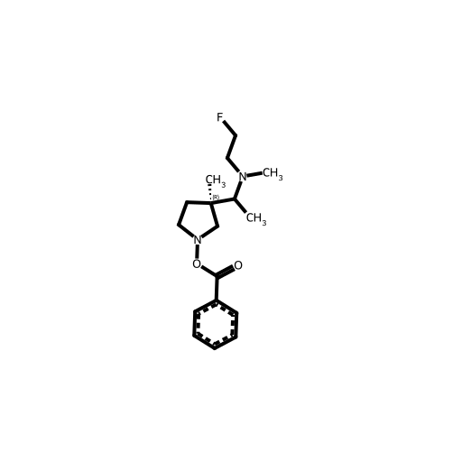 CC(N(C)CCF)[C@]1(C)CCN(OC(=O)c2ccccc2)C1